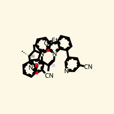 CCOCN(C(=O)/C(C)=C\n1c2c(-c3cncc(C#N)c3)cccc2c2cccc(-c3cncc(C#N)c3)c21)C(C)[C@@H](C)c1ccccc1